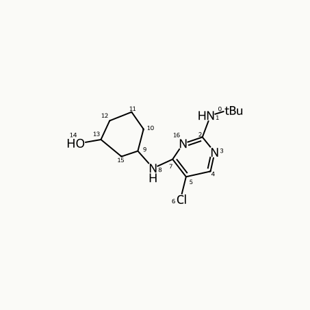 CC(C)(C)Nc1ncc(Cl)c(NC2CCCC(O)C2)n1